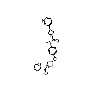 O=C(Nc1ccc(OC2CN(C(=O)[C@@H]3CCCO3)C2)cc1)N1CC(c2cccnc2)C1